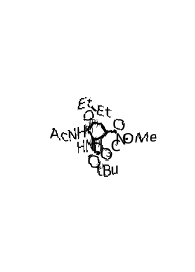 CCC(CC)O[C@@H]1C=C(C(=O)N(C)OC)C[C@H](NC(=O)OC(C)(C)C)[C@H]1NC(C)=O